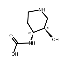 O=C(O)N[C@@H]1CCNC[C@H]1O